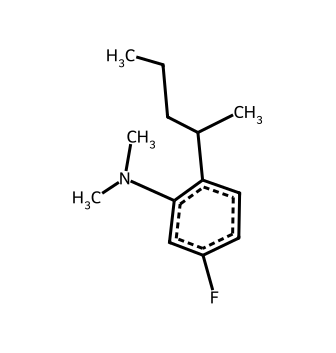 CCCC(C)c1ccc(F)cc1N(C)C